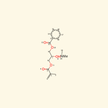 C=C(C)C(=O)OCC(O)COC(=O)c1ccccc1.CNC